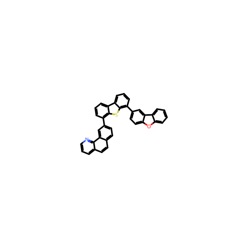 c1cnc2c(c1)ccc1ccc(-c3cccc4c3sc3c(-c5ccc6oc7ccccc7c6c5)cccc34)cc12